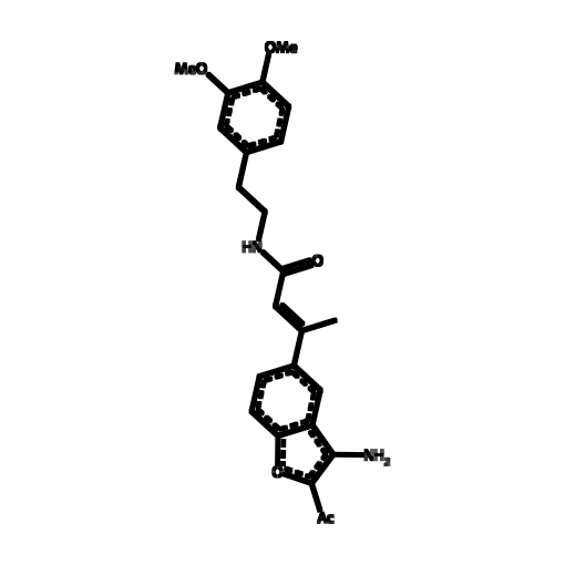 COc1ccc(CCNC(=O)C=C(C)c2ccc3oc(C(C)=O)c(N)c3c2)cc1OC